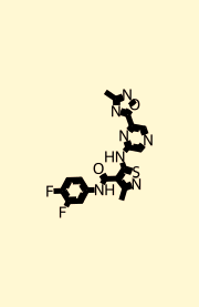 Cc1noc(-c2cncc(Nc3snc(C)c3C(=O)Nc3ccc(F)c(F)c3)n2)n1